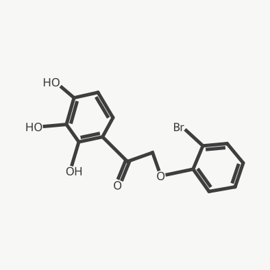 O=C(COc1ccccc1Br)c1ccc(O)c(O)c1O